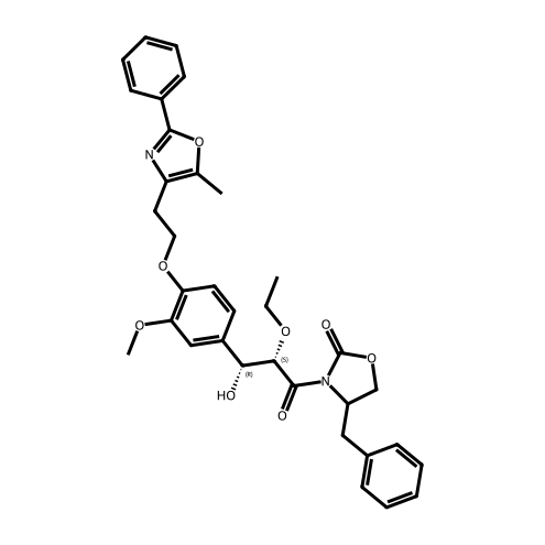 CCO[C@H](C(=O)N1C(=O)OCC1Cc1ccccc1)[C@H](O)c1ccc(OCCc2nc(-c3ccccc3)oc2C)c(OC)c1